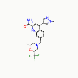 C[C@@H]1CN(Cc2ccc3c(-c4cnn(C)c4)cc(C(N)=O)nc3c2)CC(C(F)(F)F)O1